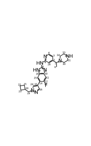 CC(c1ccnc(Nc2nc3cc(F)c(-c4cnn(CC5CCC5)c4)cc3[nH]2)c1)N1CCNCC1